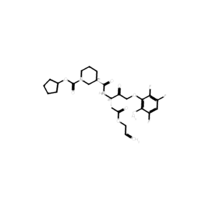 C=CCOC(=O)C[C@H](NC(=O)[C@@H]1CCCN(C(=O)OC2CCCC2)C1)C(=O)COc1c(C)c(F)cc(F)c1F